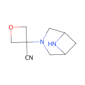 N#CC1(N2CC3CC(C2)N3)COC1